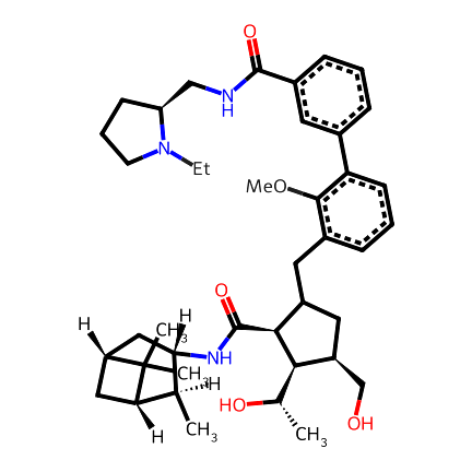 CCN1CCC[C@H]1CNC(=O)c1cccc(-c2cccc(CC3C[C@@H](CO)[C@@H]([C@H](C)O)[C@H]3C(=O)N[C@H]3C[C@H]4C[C@@H]([C@@H]3C)C4(C)C)c2OC)c1